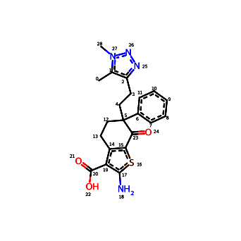 Cc1c(CCC2(c3ccccc3)CCc3c(sc(N)c3C(=O)O)C2=O)nnn1C